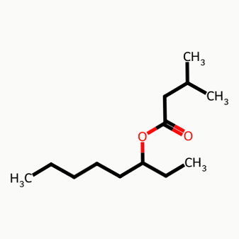 CCCCCC(CC)OC(=O)CC(C)C